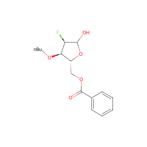 CCCCO[C@@H]1[C@@H](COC(=O)c2ccccc2)OC(O)[C@@H]1F